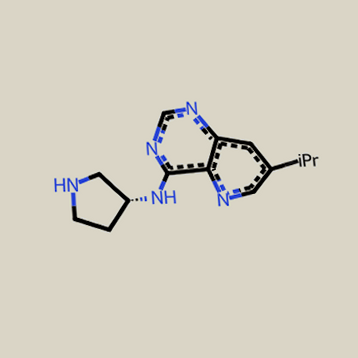 CC(C)c1cnc2c(N[C@@H]3CCNC3)ncnc2c1